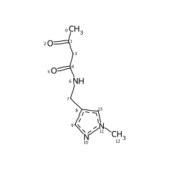 CC(=O)CC(=O)NCc1cnn(C)c1